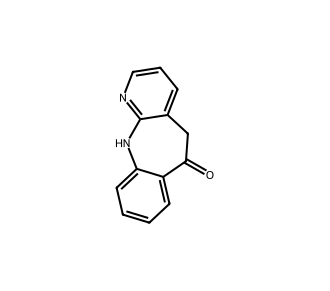 O=C1Cc2cccnc2Nc2ccccc21